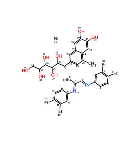 CCCCC(C=Nc1ccc(CC)c(CC)c1)=Nc1ccc(CC)c(CC)c1.Cc1cc(CC(O)C(O)C(O)C(O)CO)cc2cc(O)c(O)cc12.[Ni]